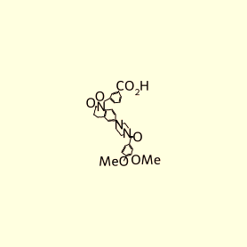 COc1ccc(C(=O)N2CCN(c3ccc4c(c3)CCC(=O)N4C(=O)c3cccc(C(=O)O)c3)CC2)cc1OC